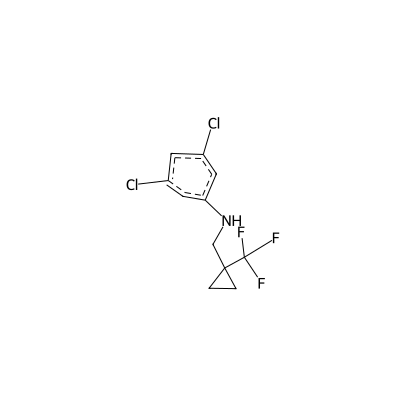 FC(F)(F)C1(CNc2cc(Cl)cc(Cl)c2)CC1